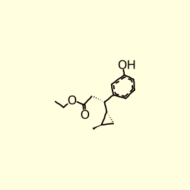 CCOC(=O)C[C@H](c1cccc(O)c1)[C@@H]1C[C@H]1C